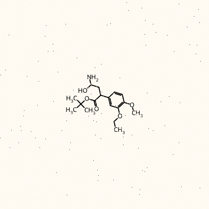 CCOc1cc(C(CC(N)O)C(=O)OC(C)(C)C)ccc1OC